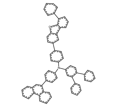 c1ccc(-c2ccc(N(c3ccc(-c4ccc5oc6c(-c7ccccc7)cccc6c5c4)cc3)c3ccc(-c4cc5ccccc5c5ccccc45)cc3)cc2-c2ccccc2)cc1